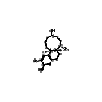 C[C@H]1CC[C@H](O)CCC[C@@H]2c3cc(O)c(O)cc3CC[C@H]21